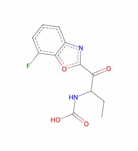 CCC(NC(=O)O)C(=O)c1nc2cccc(F)c2o1